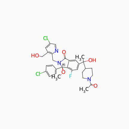 CO[C@]1(c2ccc(Cl)cc2)c2c(F)cc(C(C)(O)C3CCN(C(C)=O)CC3)cc2C(=O)N1Cc1ncc(Cl)cc1CO